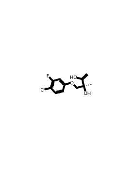 C=C(O)[C@@](C)(O)COc1ccc(Cl)c(F)c1